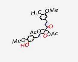 COc1cc(/C=C/C(=O)C(COC(C)=O)(COC(C)=O)C(=O)/C=C/c2ccc(OC)c(O)c2)ccc1C